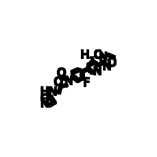 CN1CCON=C1c1ccc(-c2ccc(N3CC(CNc4ccno4)OC3=O)cc2F)cn1